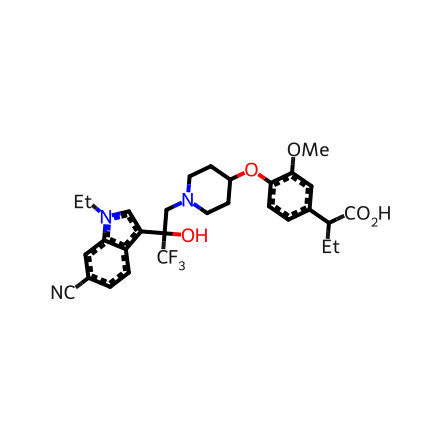 CCC(C(=O)O)c1ccc(OC2CCN(CC(O)(c3cn(CC)c4cc(C#N)ccc34)C(F)(F)F)CC2)c(OC)c1